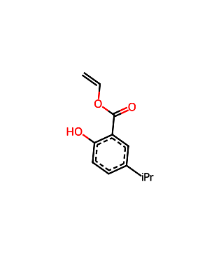 C=COC(=O)c1cc(C(C)C)ccc1O